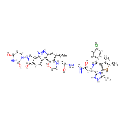 COc1cc(/N=N\c2cccc3c2CN(N2CCC(=O)NC2=O)C3=O)cc2c1N(CC(=O)NCCNC(=O)C[C@@H]1N=C(c3ccc(Cl)cc3)c3c(sc(C)c3C)-n3c(C)nnc31)CCO2